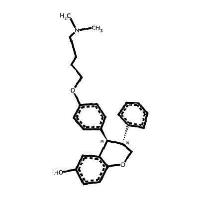 CN(C)CCCCOc1ccc([C@@H]2c3cc(O)ccc3OC[C@H]2c2ccccc2)cc1